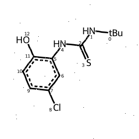 CC(C)(C)NC(=S)Nc1cc(Cl)ccc1O